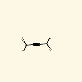 CC([O])C#CC(C)[O]